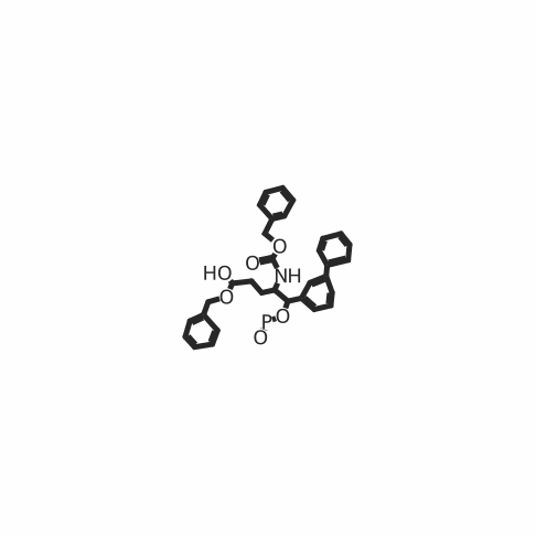 O=POC(c1cccc(-c2ccccc2)c1)C(CCC(O)OCc1ccccc1)NC(=O)OCc1ccccc1